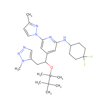 Cc1ccn(-c2cc(C(Cc3cnnn3C)O[Si](C)(C)C(C)(C)C)cc(NC3CCC(F)(F)CC3)n2)n1